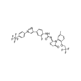 Cc1ccc(OCC(F)(F)F)c(N2C(=O)CSC2=NC(=O)Nc2ccc(-c3cn(-c4ccc(S(F)(F)(F)(F)F)cc4)cn3)cc2F)c1